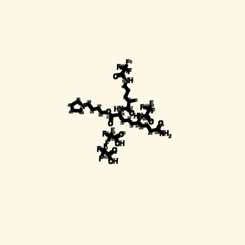 CC(CCCNC(=O)C(F)(F)F)C(=O)NC(CCCC(CCCC(N)=O)NC(=O)C(F)(F)F)C(=O)OCCCCN1CCCC1.O=C(O)C(F)(F)F.O=C(O)C(F)(F)F